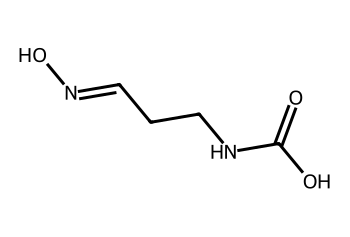 O=C(O)NCCC=NO